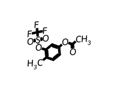 CC(=O)Oc1ccc(C)c(OS(=O)(=O)C(F)(F)F)c1